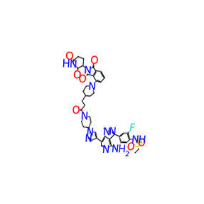 CCS(=O)(=O)Nc1ccc(-c2nn(C)c3c(-c4cnn(C5CCN(C(=O)CCC6CCN(c7cccc8c7C(=O)N(C7CCC(=O)NC7=O)C8=O)CC6)CC5)c4)cnc(N)c23)cc1F